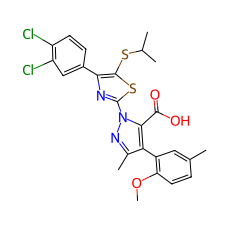 COc1ccc(C)cc1-c1c(C)nn(-c2nc(-c3ccc(Cl)c(Cl)c3)c(SC(C)C)s2)c1C(=O)O